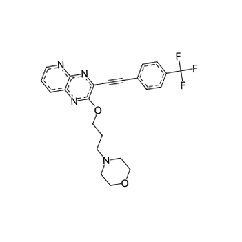 FC(F)(F)c1ccc(C#Cc2nc3ncccc3nc2OCCCN2CCOCC2)cc1